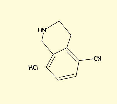 Cl.N#Cc1cccc2c1CCNC2